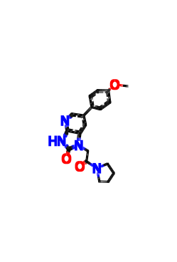 COc1ccc(-c2cnc3[nH]c(=O)n(CC(=O)N4CCCC4)c3c2)cc1